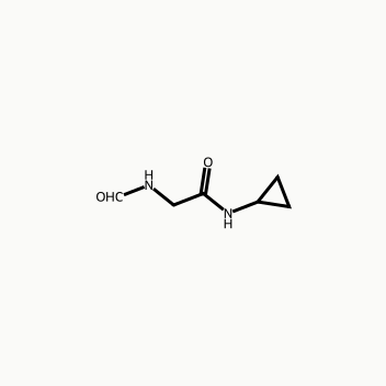 O=CNCC(=O)NC1CC1